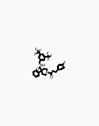 O=C(CCc1ccc(F)cc1)N1CCC(C(=O)NCc2cc(C(F)(F)F)cc(C(F)(F)F)c2)(c2ccccc2)CC1